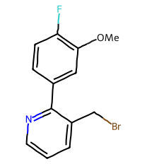 COc1cc(-c2ncccc2CBr)ccc1F